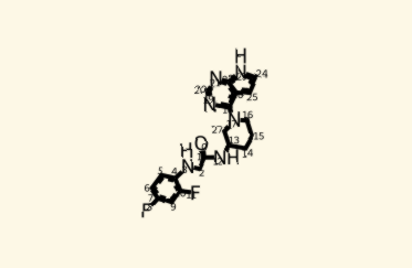 O=C(CNc1ccc(F)cc1F)NC1CCCN(c2ncnc3[nH]ccc23)C1